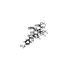 CB(O)N[C@H]1C(=O)N(C(=O)[C@H](C/N=C\B=O)C(C)(C)NC(=O)c2ccc(C)cc2)C1(C)C